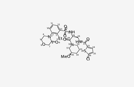 CCc1c(N2CCOCC2=O)cccc1S(=O)(=O)N[C@@H](CNC(=O)c1ccc(Cl)s1)C(=O)N1CCC[C@@H](OC)C1